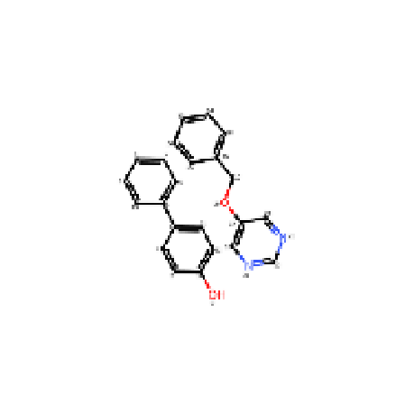 Oc1ccc(-c2ccccc2)cc1.c1ccc(COc2cncnc2)cc1